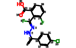 C=C(N/N=C(\F)c1c(F)cccc1C(=O)O)c1ccc(Cl)cc1